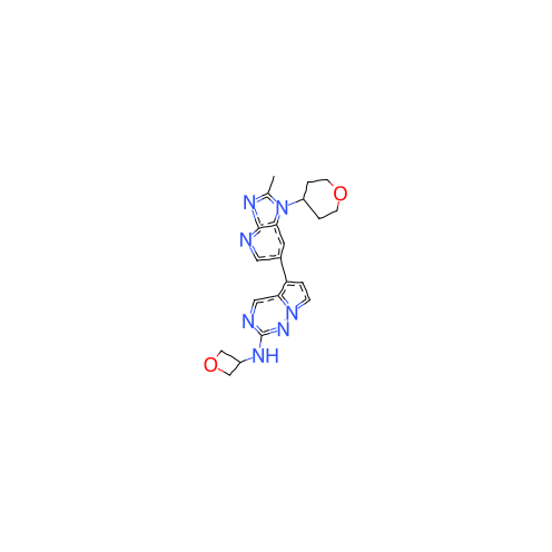 Cc1nc2ncc(-c3ccn4nc(NC5COC5)ncc34)cc2n1C1CCOCC1